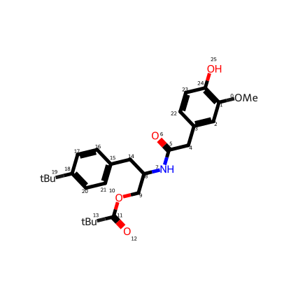 COc1cc(CC(=O)NC(COC(=O)C(C)(C)C)Cc2ccc(C(C)(C)C)cc2)ccc1O